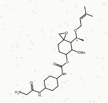 COC1C(OC(=O)NC2CCC(NC(=O)CN)CC2)CCC2(CO2)C1[C@H](C)OCC=C(C)C